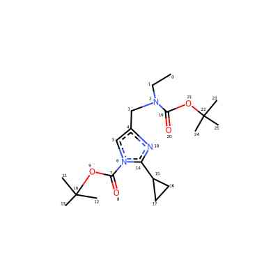 CCN(Cc1cn(C(=O)OC(C)(C)C)c(C2CC2)n1)C(=O)OC(C)(C)C